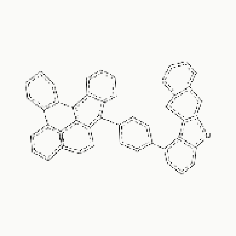 c1ccc(-c2ccccc2-c2c3ccccc3c(-c3ccc(-c4cccc5oc6cc7ccccc7cc6c45)cc3)c3ccccc23)cc1